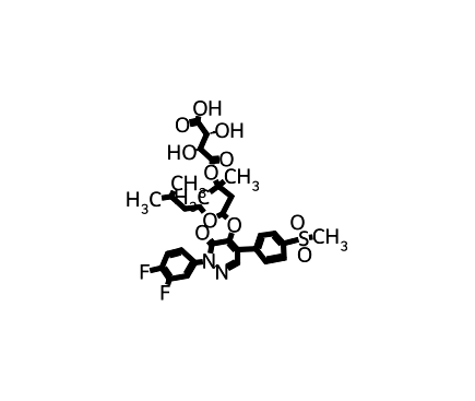 CC(C)CCOC(CC(C)(C)OC(=O)[C@H](O)[C@@H](O)C(=O)O)Oc1c(-c2ccc(S(C)(=O)=O)cc2)cnn(-c2ccc(F)c(F)c2)c1=O